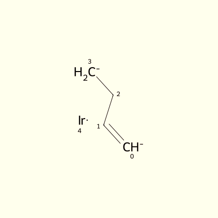 [CH-]=CC[CH2-].[Ir]